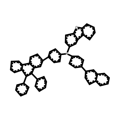 c1ccc(-c2c(-c3ccccc3)c3cc(-c4ccc(N(c5ccc(-c6ccc7ccccc7c6)cc5)c5ccc6oc7ccccc7c6c5)cc4)ccc3c3ccccc23)cc1